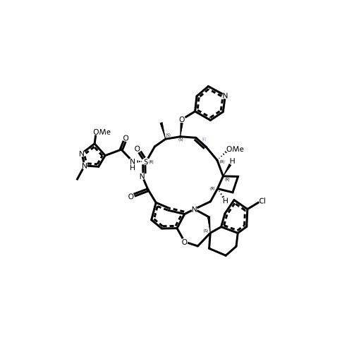 COc1nn(C)cc1C(=O)N[S@@]1(=O)=NC(=O)c2ccc3c(c2)N(C[C@@H]2CC[C@H]2[C@@H](OC)/C=C/[C@H](Oc2ccncc2)[C@H](C)C1)C[C@@]1(CCCc2cc(Cl)ccc21)CO3